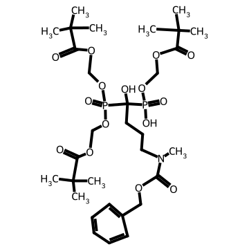 CN(CCCC(O)(P(=O)(O)OCOC(=O)C(C)(C)C)P(=O)(OCOC(=O)C(C)(C)C)OCOC(=O)C(C)(C)C)C(=O)OCc1ccccc1